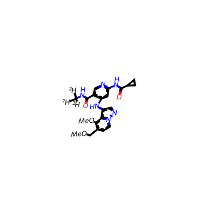 [2H]C([2H])([2H])NC(=O)c1cnc(NC(=O)C2CC2)cc1Nc1cnn2ccc(COC)c(OC)c12